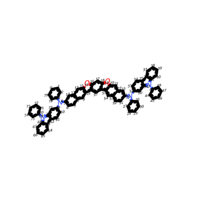 c1ccc(N(c2ccc3cc4c(cc3c2)oc2cc3oc5cc6cc(N(c7ccccc7)c7ccc8c9ccccc9n(-c9ccccc9)c8c7)ccc6cc5c3cc24)c2ccc3c4ccccc4n(-c4ccccc4)c3c2)cc1